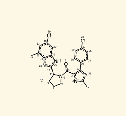 Cc1nc(C(=O)N2CC[C@H](C)[C@H]2c2nc3c(C)cc(Cl)cc3[nH]2)c(-c2ccc(Cl)cc2)s1